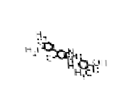 Cc1ccc(-c2cc3nc(Oc4ccc(C)c(C(=O)O)c4)[nH]c3cc2Cl)cc1C